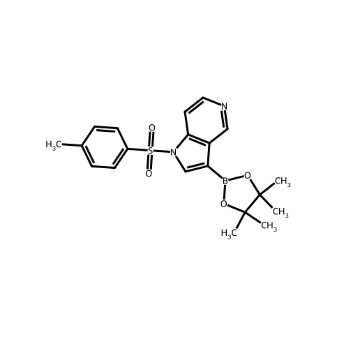 Cc1ccc(S(=O)(=O)n2cc(B3OC(C)(C)C(C)(C)O3)c3cnccc32)cc1